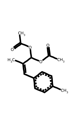 CC(=O)OC(OC(C)=O)C(C)=Cc1ccc(C)cc1